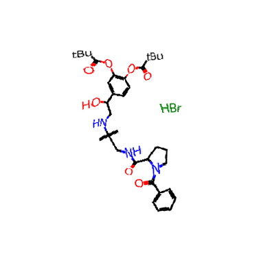 Br.CC(C)(CNC(=O)C1CCCN1C(=O)c1ccccc1)NCC(O)c1ccc(OC(=O)C(C)(C)C)c(OC(=O)C(C)(C)C)c1